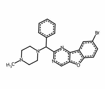 CN1CCN(C(c2ccccc2)c2ncc3oc4ccc(Br)cc4c3n2)CC1